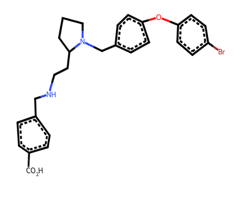 O=C(O)c1ccc(CNCCC2CCCN2Cc2ccc(Oc3ccc(Br)cc3)cc2)cc1